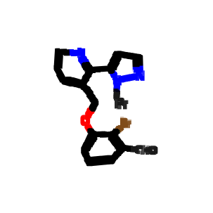 CC(C)n1nccc1-c1ncccc1COc1cccc(C=O)c1Br